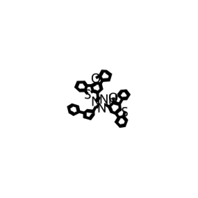 c1ccc(-c2cccc(C3=NC(c4cc5c6ccccc6sc5c5c4oc4ccccc45)NC(c4cc5c6ccccc6oc5c5c4sc4ccccc45)=N3)c2)cc1